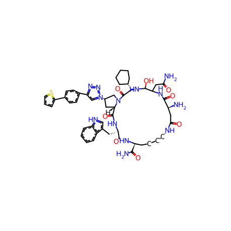 NC(=O)CC1NC(=O)[C@@H](N)CC(=O)NCCCC[C@@H](C(N)=O)NC(=O)[C@H](Cc2c[nH]c3ccccc23)NC(=O)[C@@H]2C[C@H](n3cc(-c4ccc(-c5cccs5)cc4)nn3)CN2C(=O)[C@H](C2CCCCC2)NC1O